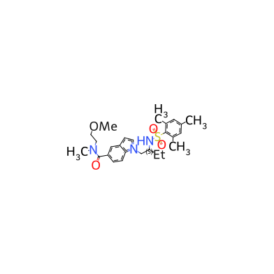 CC[C@@H](Cn1ccc2cc(C(=O)N(C)CCOC)ccc21)NS(=O)(=O)c1c(C)cc(C)cc1C